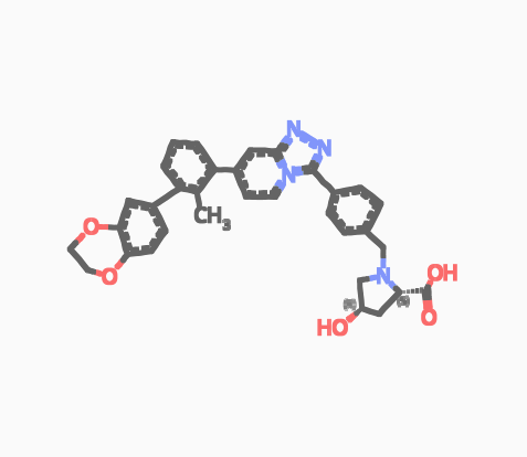 Cc1c(-c2ccc3c(c2)OCCO3)cccc1-c1ccn2c(-c3ccc(CN4C[C@H](O)C[C@H]4C(=O)O)cc3)nnc2c1